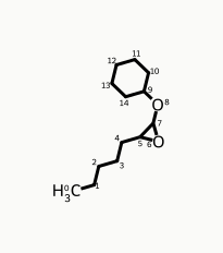 CCCCCC1OC1OC1CCCCC1